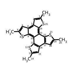 Cc1cc2c3cc(C)sc3c3c4sc(C)cc4c4cc(C)sc4c3c2s1